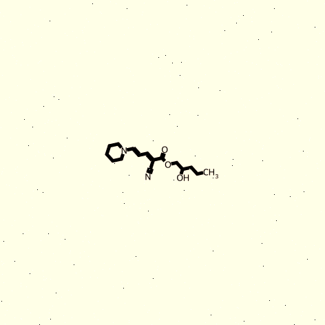 CCCC(O)COC(=O)/C(C#N)=C/C=C/N1CCCCC1